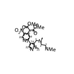 CNCCN(C)Cc1c(-c2cc(C(C(=O)OC)C(=O)OC)c([N+](=O)[O-])cn2)cnn1C